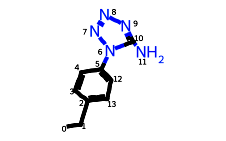 CCc1ccc(-n2nnnc2N)cc1